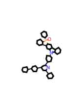 O=P1(c2ccccc2)c2ccccc2-c2cc3c(cc21)c1ccccc1n3-c1ccc(-c2cc(-c3ccc(-c4ccccc4)cc3)cc(-c3ccccc3)n2)cc1